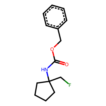 O=C(NC1(CF)CCCC1)OCc1ccccc1